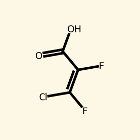 O=C(O)C(F)=C(F)Cl